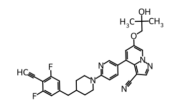 C#Cc1c(F)cc(CC2CCN(c3ccc(-c4cc(OCC(C)(C)O)cn5ncc(C#N)c45)cn3)CC2)cc1F